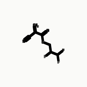 C=C(C#N)C(=O)OCC(F)C(F)F